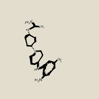 Cc1ccc(N)c(NC2CCN([C@H]3CC[C@@H](OC(C)C)CC3)CC2)c1